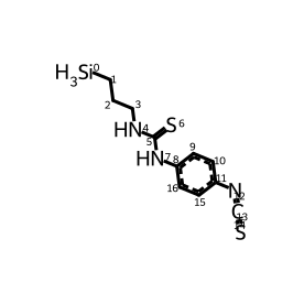 [SiH3]CCCNC(=S)Nc1ccc(N=C=S)cc1